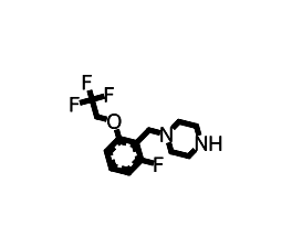 Fc1cccc(OCC(F)(F)F)c1CN1CCNCC1